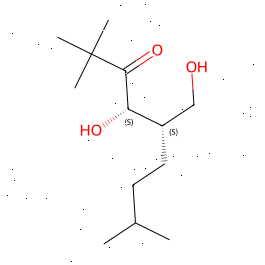 CC(C)CC[C@@H](CO)[C@H](O)C(=O)C(C)(C)C